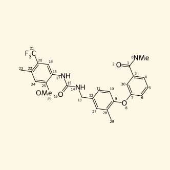 CNC(=O)c1cccc(Oc2ccc(CNC(=O)Nc3cc(C(F)(F)F)c(C)cc3OC)cc2C)c1